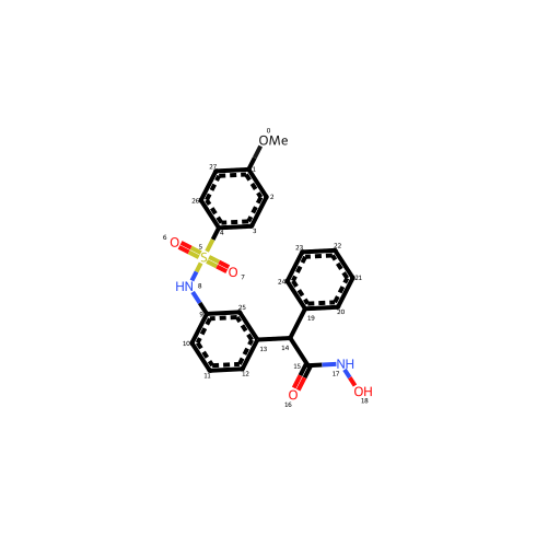 COc1ccc(S(=O)(=O)Nc2cccc(C(C(=O)NO)c3ccccc3)c2)cc1